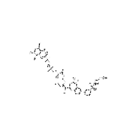 CCCN(CCCN(C)C(=O)CCC(C)(C)OCC(C)(C)C(=O)Oc1c(F)c(F)cc(F)c1F)C(=O)C1=Cc2ccc(-c3cccc(S(=O)(=O)N4CC(CO)C4)c3)cc2N=C(N)C1